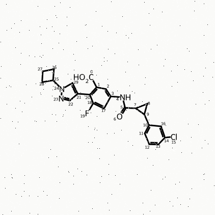 O=C(O)c1cc(NC(=O)C2CC2c2cccc(Cl)c2)cc(F)c1-c1cnn(C2CCC2)c1